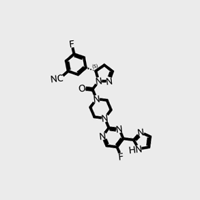 N#Cc1cc(F)cc([C@@H]2CC=NN2C(=O)N2CCN(c3ncc(F)c(-c4ncc[nH]4)n3)CC2)c1